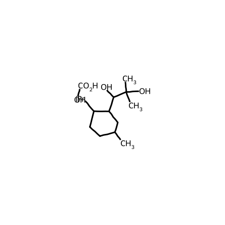 CC1CCC(C(C)C)C(C(O)C(C)(C)O)C1.O=C(O)O